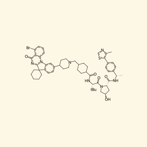 Cc1ncsc1-c1ccc([C@H](C)NC(=O)[C@@H]2C[C@@H](O)CN2C(=O)[C@@H](NC(=O)C2CCC(CN3CCC(c4ccc5c(c4)-n4c(nc(=O)c6c(Br)cccc64)C54CCCCC4)CC3)CC2)C(C)(C)C)cc1